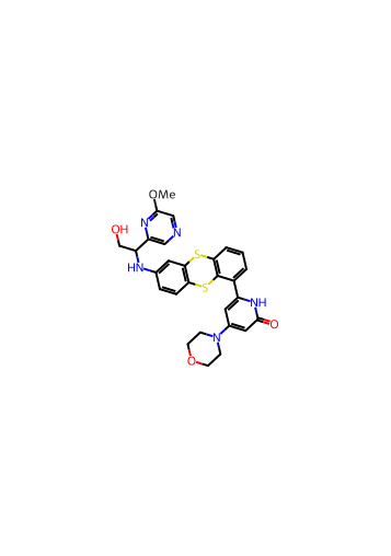 COc1cncc(C(CO)Nc2ccc3c(c2)Sc2cccc(-c4cc(N5CCOCC5)cc(=O)[nH]4)c2S3)n1